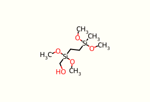 CO[Si](C)(CC[Si](CO)(OC)OC)OC